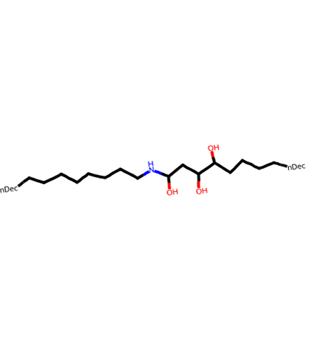 CCCCCCCCCCCCCCCCCCNC(O)CC(O)C(O)CCCCCCCCCCCCCC